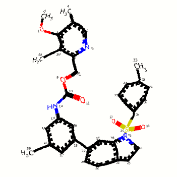 COc1c(C)cnc(COC(=O)Nc2cc(C)cc(-c3ccc4ccn(S(=O)(=O)c5ccc(C)cc5)c4c3)c2)c1C